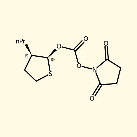 CCC[C@@H]1CCS[C@@H]1OC(=O)ON1C(=O)CCC1=O